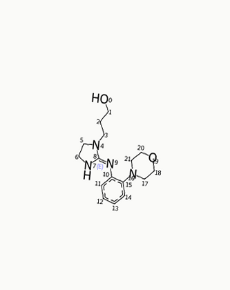 OCCCN1CCN/C1=N\c1ccccc1N1CCOCC1